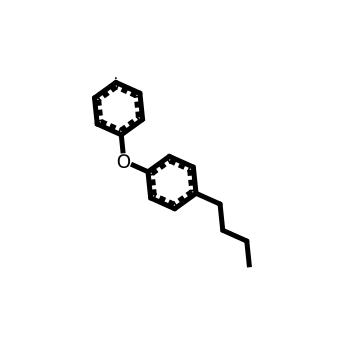 CCCCc1ccc(Oc2cc[c]cc2)cc1